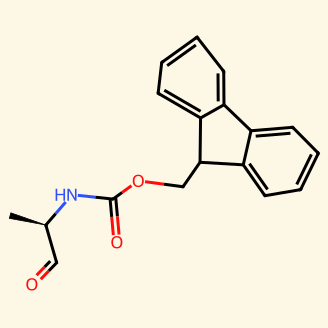 C[C@H](C=O)NC(=O)OCC1c2ccccc2-c2ccccc21